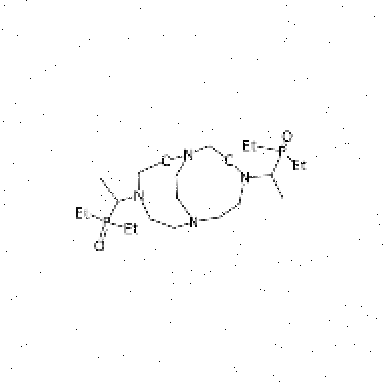 CCP(=O)(CC)C(C)N1CCN2CCN(CC1)CCN(C(C)P(=O)(CC)CC)CC2